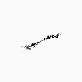 C[C@@H]1O[C@@H](OCCCC(=O)NCCOCCOCCOCCOCCNC(=O)COc2ccc(-c3cccc(C(=O)O)c3)cc2)[C@H](O)[C@H](O)[C@H]1O